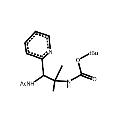 CC(=O)NC(c1ccccn1)C(C)(C)NC(=O)OC(C)(C)C